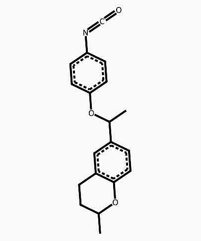 CC1CCc2cc(C(C)Oc3ccc(N=C=O)cc3)ccc2O1